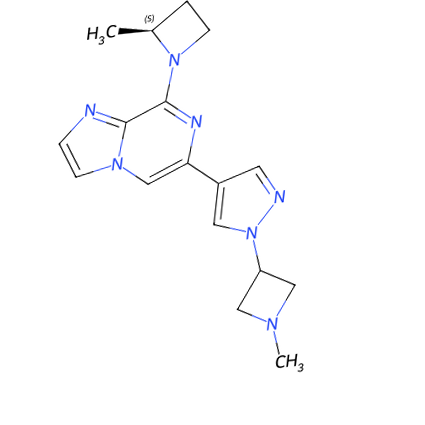 C[C@H]1CCN1c1nc(-c2cnn(C3CN(C)C3)c2)cn2ccnc12